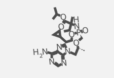 CCC(C)(N[P@@](=O)(CO[C@H](C)Cn1cnc2c(N)ncnc21)OCCC1CC1)C(=O)OC(C)C